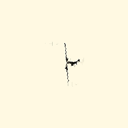 CCCCCCC/C=C\CCCCCCCC(=O)O[C@H](COC(=O)CCCCCCCCCCCCCCCCCC)COP(=O)(O)OC[C@@H](O)CO